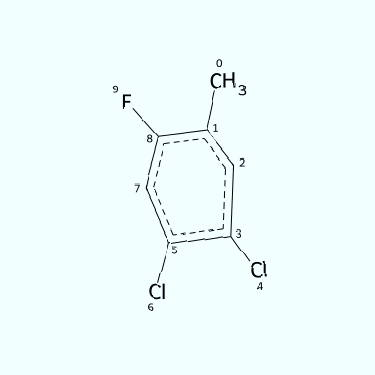 Cc1cc(Cl)c(Cl)cc1F